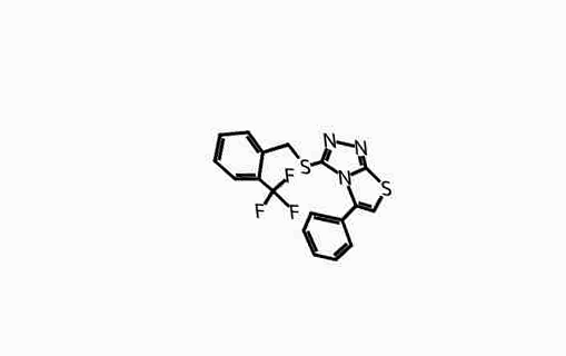 FC(F)(F)c1ccccc1CSc1nnc2scc(-c3ccccc3)n12